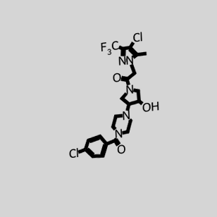 Cc1c(Cl)c(C(F)(F)F)nn1CC(=O)N1CC(O)C(N2CCN(C(=O)c3ccc(Cl)cc3)CC2)C1